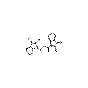 CC(CC(C)N1C(=O)C(=O)c2ccccc21)N1C(=O)C(=O)c2ccccc21